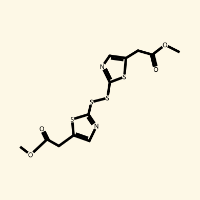 COC(=O)Cc1cnc(SSc2ncc(CC(=O)OC)s2)s1